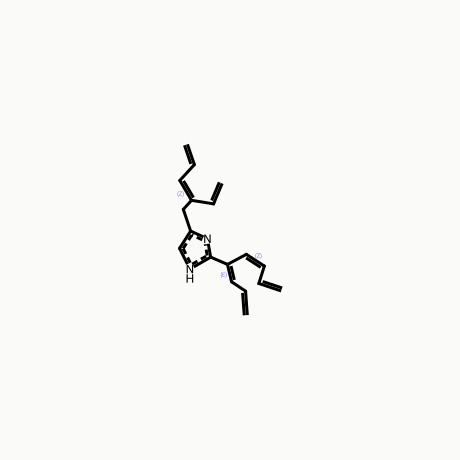 C=C/C=C\C(=C/C=C)c1nc(C/C(C=C)=C/C=C)c[nH]1